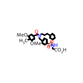 COc1cc(C(=O)N(CCCc2ccccc2)Cc2ccc(S(=O)(=O)NCC(=O)O)cc2)cc(OC)c1C